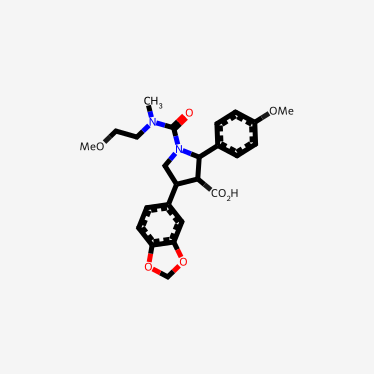 COCCN(C)C(=O)N1CC(c2ccc3c(c2)OCO3)C(C(=O)O)C1c1ccc(OC)cc1